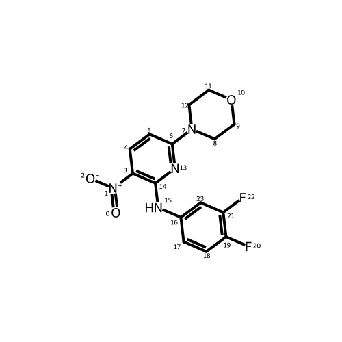 O=[N+]([O-])c1ccc(N2CCOCC2)nc1Nc1ccc(F)c(F)c1